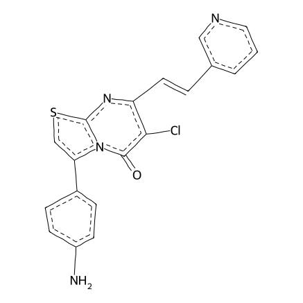 Nc1ccc(-c2csc3nc(/C=C/c4cccnc4)c(Cl)c(=O)n23)cc1